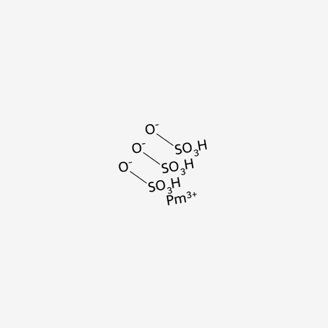 O=S(=O)([O-])O.O=S(=O)([O-])O.O=S(=O)([O-])O.[Pm+3]